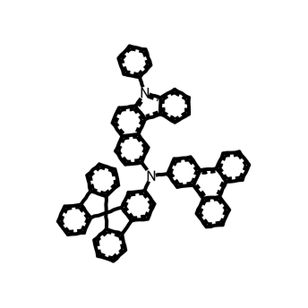 c1ccc(-n2c3ccccc3c3c4cc(N(c5ccc6c(c5)C5(c7ccccc7-c7ccccc75)c5ccccc5-6)c5ccc6c7ccccc7c7ccccc7c6c5)ccc4ccc32)cc1